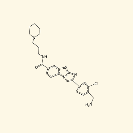 NCc1ccc(-c2cn3c(n2)sc2cc(C(=O)NCCCN4CCCCC4)ccc23)cc1Cl